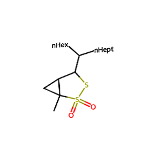 CCCCCCCC(CCCCCC)C1SS(=O)(=O)C2(C)CC12